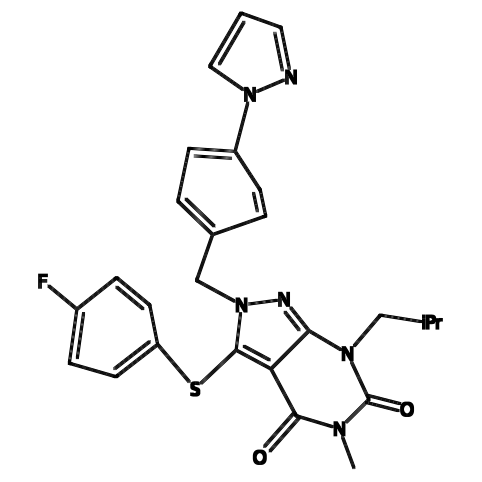 CC(C)Cn1c(=O)n(C)c(=O)c2c(Sc3ccc(F)cc3)n(Cc3ccc(-n4cccn4)cc3)nc21